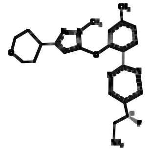 Cc1ccc(-c2ncc([C@H](F)CN)cn2)c(Oc2cc(C3CCOCC3)nn2C)c1